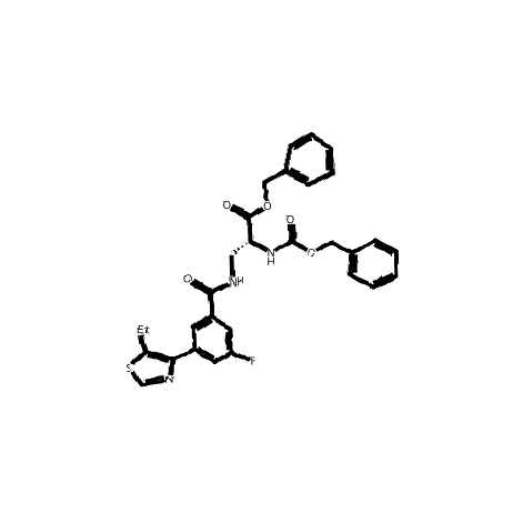 CCc1scnc1-c1cc(F)cc(C(=O)NC[C@@H](NC(=O)OCc2ccccc2)C(=O)OCc2ccccc2)c1